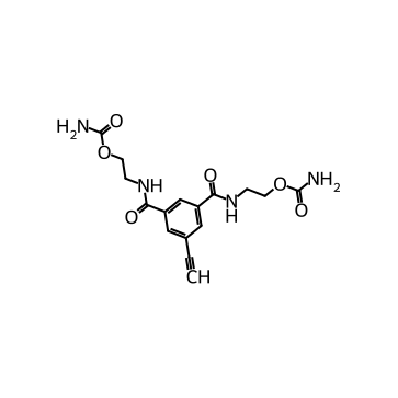 C#Cc1cc(C(=O)NCCOC(N)=O)cc(C(=O)NCCOC(N)=O)c1